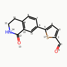 O=Cc1ccc(-c2ccc3c(c2)C(=O)NCC3)s1